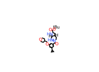 CC(C)(C)OC(=O)C1C[C@H]2CCN(C(=O)c3cc(OCC4CCOCC4)cc(C4CC4)c3)NC[C@H]2N1